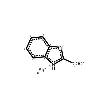 O=C([O-])c1nc2ccccc2[nH]1.[Ag+]